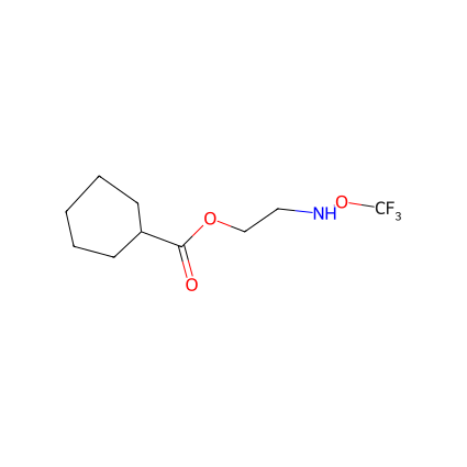 O=C(OCCNOC(F)(F)F)C1CCCCC1